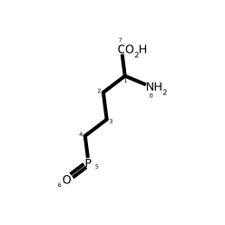 NC(CCCP=O)C(=O)O